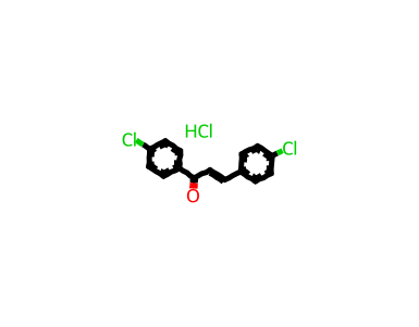 Cl.O=C(/C=C/c1ccc(Cl)cc1)c1ccc(Cl)cc1